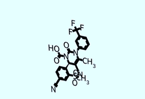 CC1=C(C#N)[C@@H](c2ccc(C#N)cc2S(C)(=O)=O)N(C(=O)O)C(=O)N1c1cccc(C(F)(F)F)c1